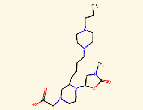 CCCN1CCN(CCCCC2CN(CC(=O)O)CCN2C2CN(C)C(=O)O2)CC1